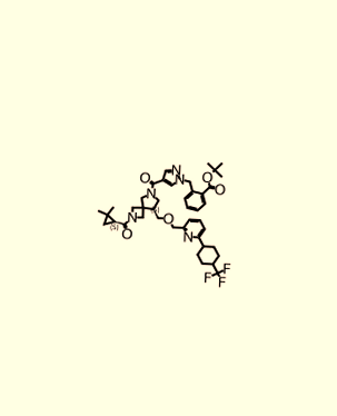 CC(C)(C)OC(=O)c1ccccc1Cn1cc(C(=O)N2C[C@@H](COCc3cccc(C4CCC(C(F)(F)F)CC4)n3)C3(C2)CN(C(=O)[C@H]2CC2(C)C)C3)cn1